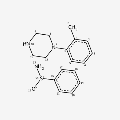 Cc1ccccc1N1CCNCC1.N[S+]([O-])c1ccccc1